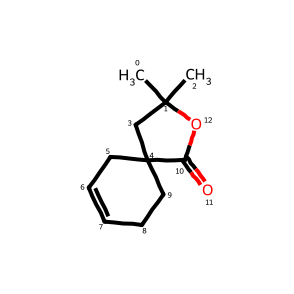 CC1(C)CC2(CC=CCC2)C(=O)O1